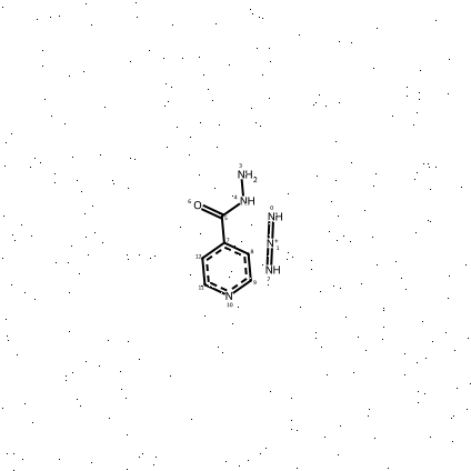 N=[N+]=N.NNC(=O)c1ccncc1